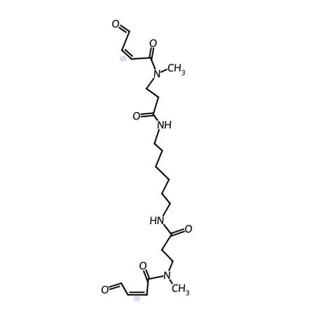 CN(CCC(=O)NCCCCCCNC(=O)CCN(C)C(=O)/C=C\C=O)C(=O)/C=C\C=O